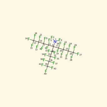 FN(F)C(C(F)(F)C(F)(F)C(F)(F)C(F)(F)F)(C(F)(F)C(F)(F)C(F)(F)C(F)(F)F)C(F)(F)C(F)(F)C(F)(F)C(F)(F)F